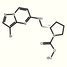 CC(C)(C)OC(=O)N1CCC[C@H]1CNc1ccn2ncc(Br)c2n1